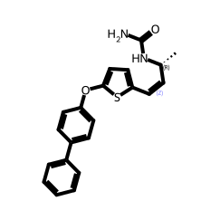 C[C@H](/C=C\c1ccc(Oc2ccc(-c3ccccc3)cc2)s1)NC(N)=O